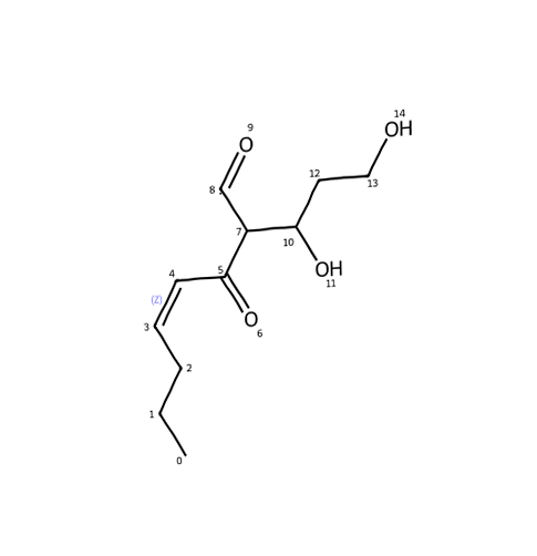 CCC/C=C\C(=O)C([C]=O)C(O)CCO